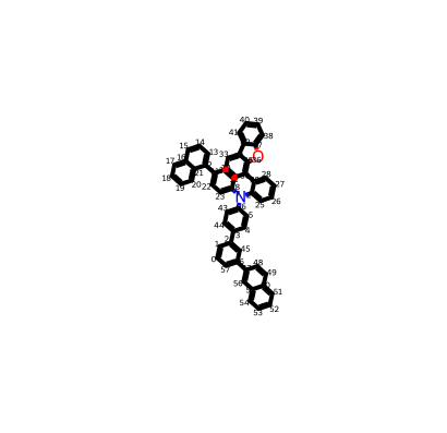 c1cc(-c2ccc(N(c3ccc(-c4cccc5ccccc45)cc3)c3ccccc3-c3cccc4c3oc3ccccc34)cc2)cc(-c2ccc3ccccc3c2)c1